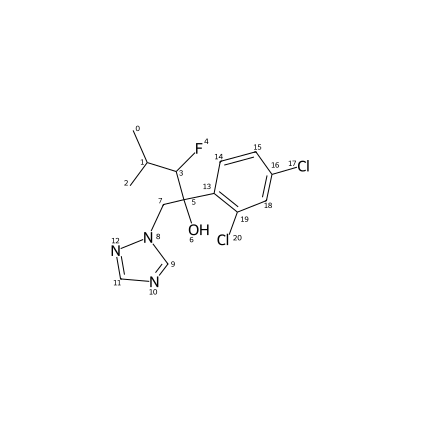 CC(C)C(F)C(O)(Cn1cncn1)c1ccc(Cl)cc1Cl